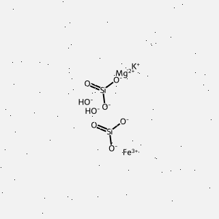 O=[Si]([O-])[O-].O=[Si]([O-])[O-].[Fe+3].[K+].[Mg+2].[OH-].[OH-]